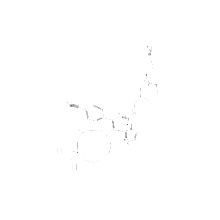 CC1(C)CCCCCC(c2c(-c3ccc(C#N)cc3)nc(OCC3CCCN(CCC#N)C3)n3ccnc23)CCCC1